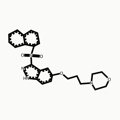 O=S(=O)(c1cccc2ccccc12)c1n[nH]c2ccc(OCCCN3CCOCC3)cc12